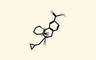 NC(=O)c1ccc2c(c1)[C@@]13CCCC[C@H]1[C@@H](C2)N(CC1CC1)CC3